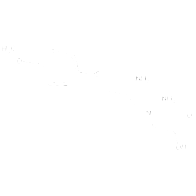 COc1ccc(SC/C(N)=C/N(N)CC(=O)O)cc1